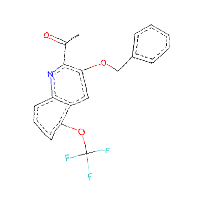 CC(=O)c1nc2cccc(OC(F)(F)F)c2cc1OCc1ccccc1